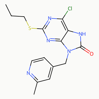 CCCSc1nc(Cl)c2[nH]c(=O)n(Cc3ccnc(C)c3)c2n1